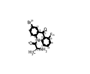 C[C@H](N)C(=O)Nc1ccc(Br)cc1C(=O)c1ccccc1F